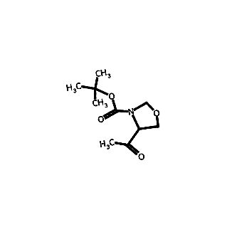 CC(=O)C1COCN1C(=O)OC(C)(C)C